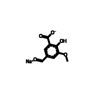 COc1cc(C=O)cc(C(=O)[O-])c1O.[Na+]